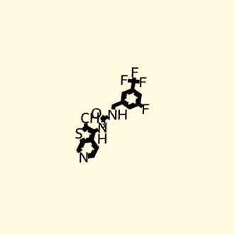 Cc1sc2cnccc2c1NC(=O)NCc1cc(F)cc(C(F)(F)F)c1